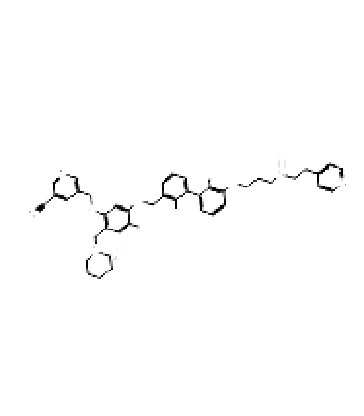 Cc1c(COc2cc(OCc3cncc(C#N)c3)c(CN3CCCC[C@H]3C)cc2Cl)cccc1-c1cccc(OCCCNCCc2ccncc2)c1C